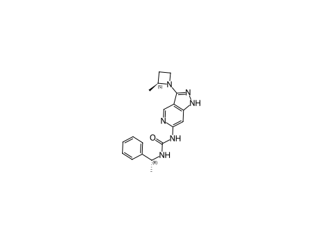 C[C@@H](NC(=O)Nc1cc2[nH]nc(N3CC[C@@H]3C)c2cn1)c1ccccc1